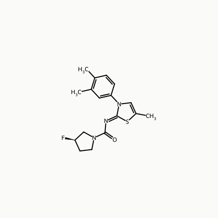 Cc1cn(-c2ccc(C)c(C)c2)/c(=N/C(=O)N2CC[C@@H](F)C2)s1